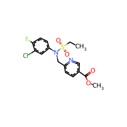 CCS(=O)(=O)N(Cc1ccc(C(=O)OC)cn1)c1ccc(F)c(Cl)c1